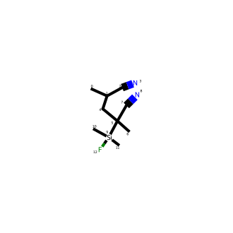 CC(C#N)CC(C)(C#N)[Si](C)(C)F